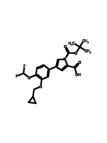 CC(C)(C)OC(=O)n1cc(-c2ccc(OC(F)F)c(OCC3CC3)c2)cc1C(=O)O